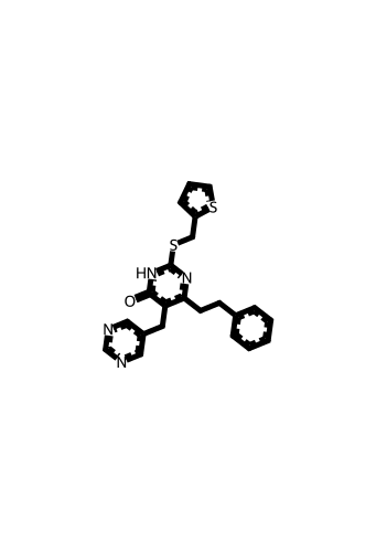 O=c1[nH]c(SCc2cccs2)nc(CCc2ccccc2)c1Cc1cncnc1